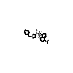 CN(C)c1cccc2c(S(=O)(=O)N[C@H]3CCN(Cc4ccccc4)C3)cccc12